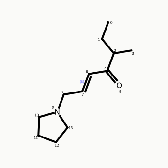 CCC(C)C(=O)/C=C/CN1CCCC1